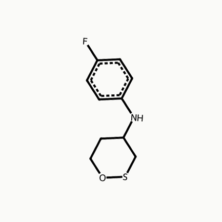 Fc1ccc(NC2CCOSC2)cc1